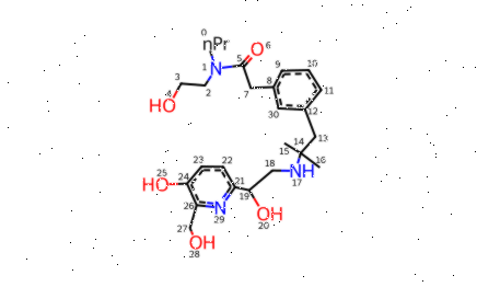 CCCN(CCO)C(=O)Cc1cccc(CC(C)(C)NCC(O)c2ccc(O)c(CO)n2)c1